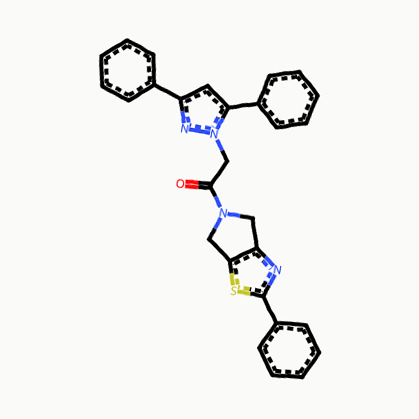 O=C(Cn1nc(-c2ccccc2)cc1-c1ccccc1)N1Cc2nc(-c3ccccc3)sc2C1